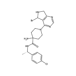 C[C@H](NC(=O)C1(N)CCN(c2ncnc3c2C(Br)NC3)CC1)c1ccc(Cl)cc1